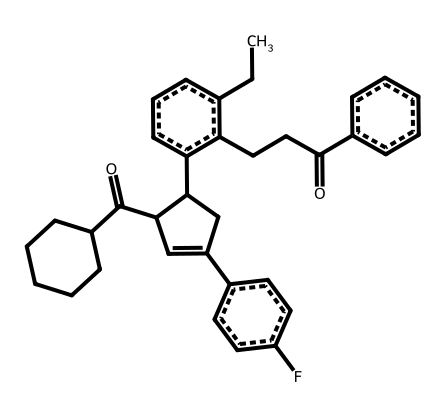 CCc1cccc(C2CC(c3ccc(F)cc3)=CC2C(=O)C2CCCCC2)c1CCC(=O)c1ccccc1